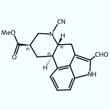 COC(=O)[C@@H]1C[C@@H]2c3cccc4[nH]c(C=O)c(c34)C[C@H]2N(C#N)C1